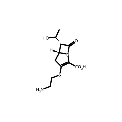 CC(O)[C@@H]1C(=O)N2C(C(=O)O)=C(SCCN)C[C@H]12